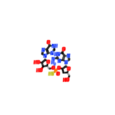 Nc1nc2c(ncn2[C@@H]2O[C@H](CO)C[C@H]2OP(=O)(S)OC[C@H]2O[C@@H](n3cnc4c(=O)[nH]cnc43)[C@H](O)[C@@H]2O)c(=O)[nH]1